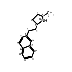 C[C@@H]1CC[C@H](CCc2ccc3ccccc3c2)N1